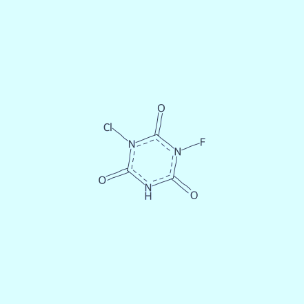 O=c1[nH]c(=O)n(Cl)c(=O)n1F